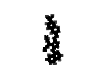 CCN(CCN1CCN(Cc2cccc3ccccc23)C1=C(C#N)C#N)Cc1ccc(N(C)C)cc1